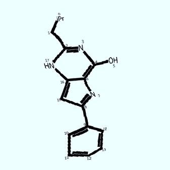 CC(C)Cc1nc(O)c2nc(-c3ccccc3)cc-2[nH]1